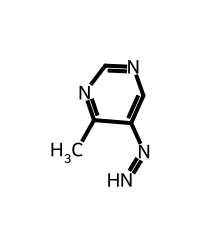 Cc1ncncc1N=N